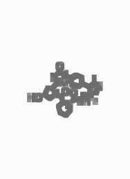 BBC(=O)N1CCCCC1C(=O)N1C[C@H](O)CC1C1=NC(=O)[C@](C)(c2ccc(-c3scnc3C)cc2)N1